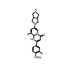 COc1ccc(C2=CC(=O)N3C=C(N4CC5CNCC5C4)C=C(C)C3P2)cc1C